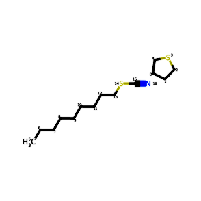 C1CCSC1.CCCCCCCCCSC#N